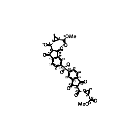 COC(=O)[C@@H]1C[C@H]1C(=O)C1C(=O)c2ccc(S(=O)(=O)c3ccc4c(c3)C(=O)C(C(=O)[C@@H]3C[C@H]3C(=O)OC)C4=O)cc2C1=O